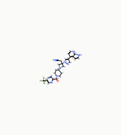 N#CCC1(n2cc(-c3ccnc4[nH]ccc34)cn2)CN(C2CCN(C(=O)c3cnc(C(F)(F)F)cn3)CC2)C1